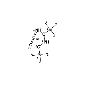 C[Si](C)(C)OPO[Si](C)(C)C.N=C=O